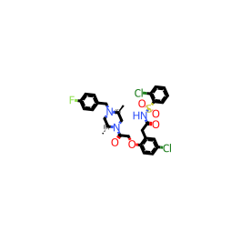 C[C@@H]1CN(Cc2ccc(F)cc2)[C@@H](C)CN1C(=O)COc1ccc(Cl)cc1CC(=O)NS(=O)(=O)c1ccccc1Cl